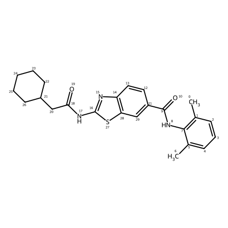 Cc1cccc(C)c1NC(=O)c1ccc2nc(NC(=O)CC3CCCCC3)sc2c1